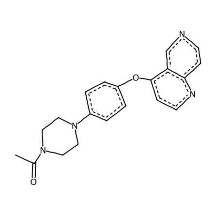 CC(=O)N1CCN(c2ccc(Oc3ccnc4ccncc34)cc2)CC1